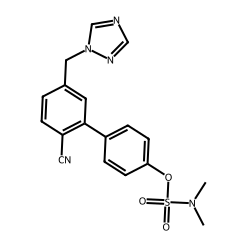 CN(C)S(=O)(=O)Oc1ccc(-c2cc(Cn3cncn3)ccc2C#N)cc1